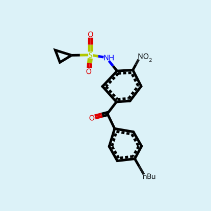 CCCCc1ccc(C(=O)c2ccc([N+](=O)[O-])c(NS(=O)(=O)C3CC3)c2)cc1